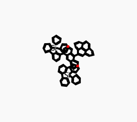 c1ccc([Si]2(c3ccccc3)c3ccccc3-c3cccc(-c4cccc5c(-c6cc7cccc8ccc9cccc6c9c87)c6cccc(-c7cccc8c7[Si](c7ccccc7)(c7ccccc7)c7ccccc7-8)c6cc45)c32)cc1